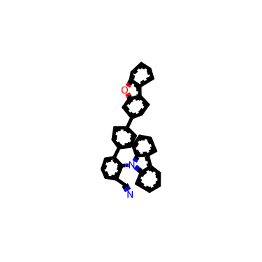 N#Cc1cccc(-c2ccc(-c3ccc4c(c3)oc3ccccc34)cc2)c1-n1c2ccccc2c2ccccc21